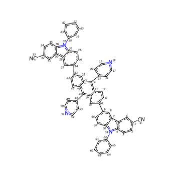 N#Cc1ccc2c(c1)c1cc(-c3ccc4c(-c5ccncc5)c5cc(-c6ccc7c(c6)c6cc(C#N)ccc6n7-c6ccccc6)ccc5c(-c5ccncc5)c4c3)ccc1n2-c1ccccc1